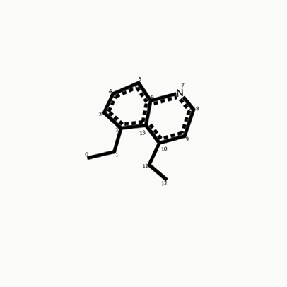 CCc1cccc2nccc(CC)c12